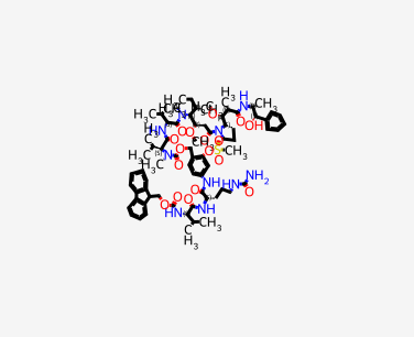 CC[C@H](C)[C@@H]([C@@H](CC(=O)N1CCC[C@H]1[C@H](OC)[C@@H](C)C(=O)N[C@H](C)[C@@H](O)c1ccccc1)OC)N(C)C(=O)[C@@H](NC(=O)[C@H](C(C)C)N(C)C(=O)OCc1ccc(NC(=O)[C@H](CCCNC(N)=O)NC(=O)[C@@H](NC(=O)OCC2c3ccccc3-c3ccccc32)C(C)C)cc1OS(C)(=O)=O)C(C)C